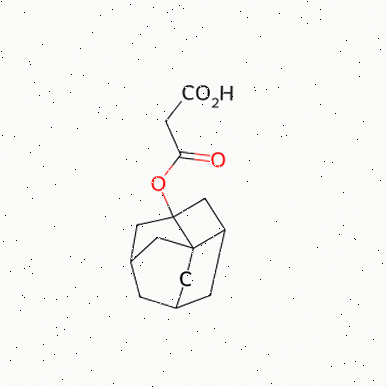 O=C(O)CC(=O)OC12CC3CC4CC(C1)C2(C4)C3